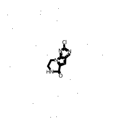 O=C1NCCn2c1cc1cnc(Cl)nc12